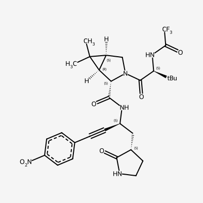 CC(C)(C)[C@H](NC(=O)C(F)(F)F)C(=O)N1C[C@H]2[C@@H]([C@H]1C(=O)N[C@H](C#Cc1ccc([N+](=O)[O-])cc1)C[C@@H]1CCNC1=O)C2(C)C